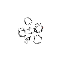 Clc1ccccc1P(Cl)(c1ccccc1)(c1ccccc1)[P](c1ccccc1)(c1ccccc1)c1ccccc1